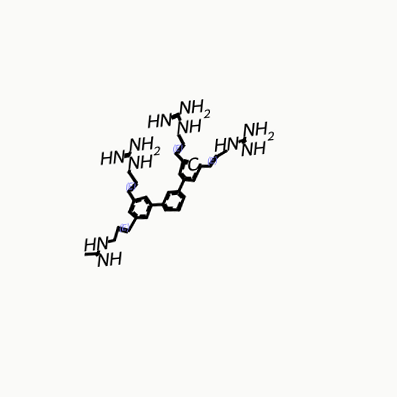 CC(=N)NC/C=C/c1cc(/C=C/CNC(=N)N)cc(-c2cccc(-c3cc(/C=C/CNC(=N)N)cc(/C=C/CNC(=N)N)c3)c2)c1